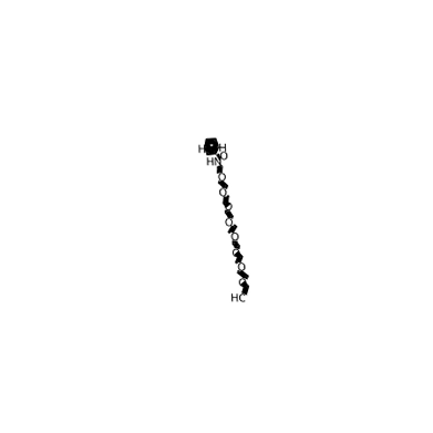 C#CCOCCOCCOCCOCCOCCOCCOCCOCCNC(=O)[C@@H]1C[C@H]2C=C[C@@H]1C2